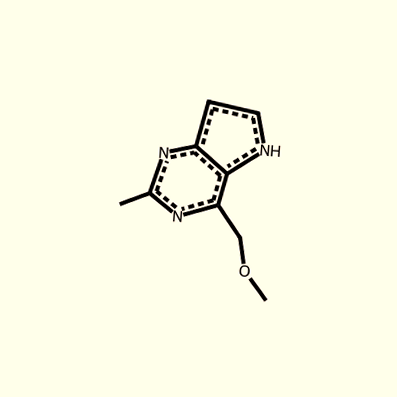 COCc1nc(C)nc2cc[nH]c12